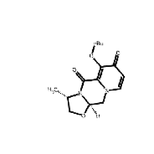 CCCCOc1c2n(ccc1=O)C[C@H]1OC[C@H](C)N1C2=O